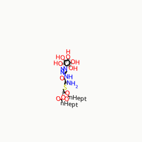 CCCCCCCC(=O)OC[C@H](CSC[C@@H](N)C(=O)Nc1cn(C2[C@H](O)[C@H](O)[C@@H](O)[C@H](O)[C@H]2O)nn1)OC(=O)CCCCCCC